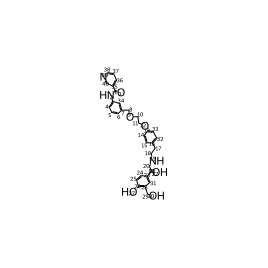 O=C(Nc1cccc(COCCOc2ccc(CCNC[C@H](O)c3ccc(O)c(CO)c3)cc2)c1)c1cccnc1